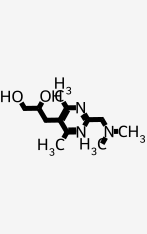 Cc1nc(CN(C)C)nc(C)c1CC(O)CO